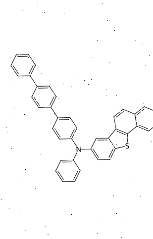 c1ccc(-c2ccc(-c3ccc(N(c4ccccc4)c4ccc5sc6c7ccccc7ccc6c5c4)cc3)cc2)cc1